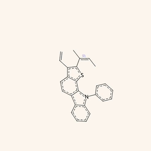 C=Cc1c(/C(C)=C\C)sc2c1ccc1c3ccccc3n(-c3ccccc3)c12